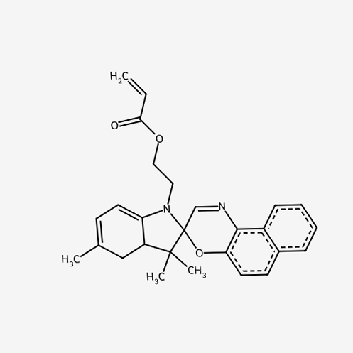 C=CC(=O)OCCN1C2=CC=C(C)CC2C(C)(C)C12C=Nc1c(ccc3ccccc13)O2